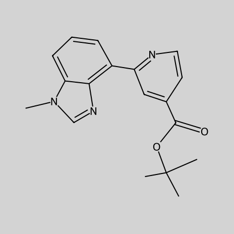 Cn1cnc2c(-c3cc(C(=O)OC(C)(C)C)ccn3)cccc21